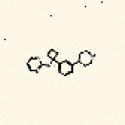 c1cnc(NC2(c3cccc(C4CCNCC4)c3)CCC2)nc1